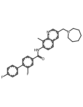 Cc1c(NC(=O)c2ccc(-c3ccc(F)cc3)c(F)c2)ccc2cc(CN3CCCCCC3)cnc12